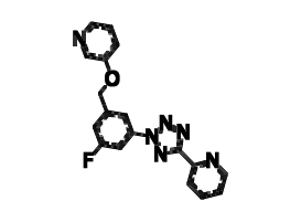 Fc1cc(COc2cccnc2)cc(-n2nnc(-c3ccccn3)n2)c1